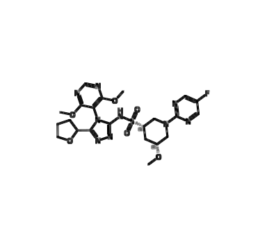 COc1ncnc(OC)c1-n1c(NS(=O)(=O)[C@H]2C[C@@H](OC)CN(c3ncc(F)cn3)C2)nnc1C1CCCO1